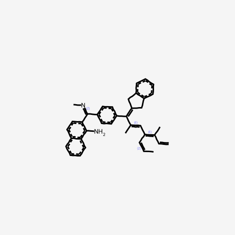 C=C/C(C)=C(\C=C/C)/C=C(\C)C(=C1Cc2ccccc2C1)c1ccc(/C(=N/C)c2ccc3ccccc3c2N)cc1